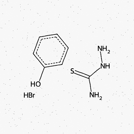 Br.NNC(N)=S.Oc1ccccc1